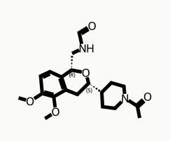 COc1ccc2c(c1OC)C[C@@H](C1CCN(C(C)=O)CC1)O[C@H]2CNC=O